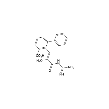 C/C(=C\c1c(C(=O)O)cccc1-c1ccccc1)C(=O)NC(=N)N